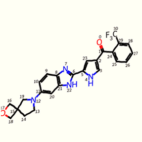 O=C(c1c[nH]c(-c2nc3ccc(N4CCC5(COC5)C4)cc3[nH]2)c1)c1ccccc1C(F)(F)F